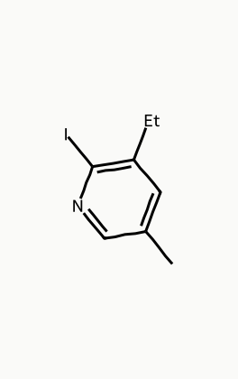 CCc1cc(C)cnc1I